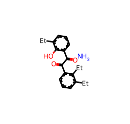 CCc1cccc(C(=O)C(=O)c2cccc(CC)c2CC)c1O.N